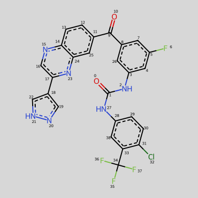 O=C(Nc1cc(F)cc(C(=O)c2ccc3ncc(-c4cn[nH]c4)nc3c2)c1)Nc1ccc(Cl)c(C(F)(F)F)c1